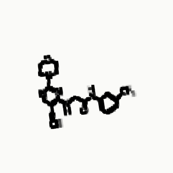 C#Cc1cnc(N2CCOCC2)nc1NCC(=O)Nc1cccc(C(F)(F)F)c1